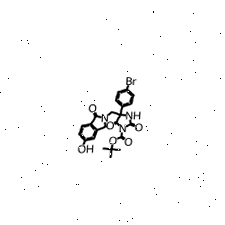 CC(C)(C)OC(=O)N1C(=O)NC(CN2Cc3cc(O)ccc3C2=O)(c2ccc(Br)cc2)C1=O